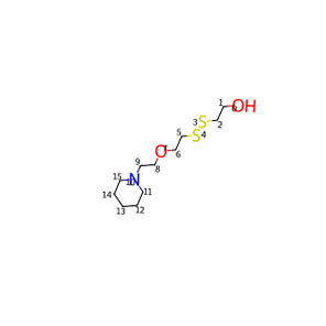 OCCSSCCOCCN1CCCCC1